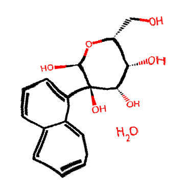 O.OC[C@H]1O[C@H](O)[C@@](O)(c2cccc3ccccc23)[C@@H](O)[C@H]1O